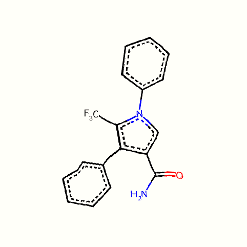 NC(=O)c1cn(-c2ccccc2)c(C(F)(F)F)c1-c1ccccc1